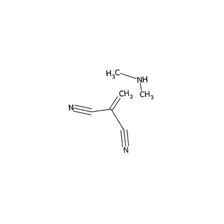 C=C(C#N)C#N.CNC